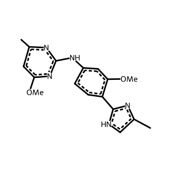 COc1cc(C)nc(Nc2ccc(-c3nc(C)c[nH]3)c(OC)c2)n1